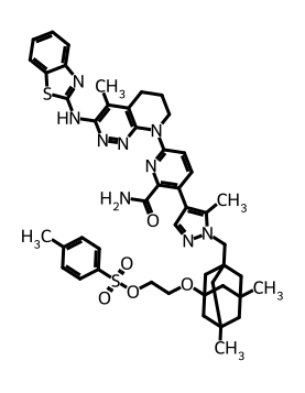 Cc1ccc(S(=O)(=O)OCCOC23CC4(C)CC(C)(CC(Cn5ncc(-c6ccc(N7CCCc8c7nnc(Nc7nc9ccccc9s7)c8C)nc6C(N)=O)c5C)(C4)C2)C3)cc1